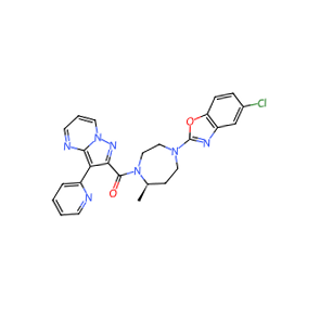 C[C@@H]1CCN(c2nc3cc(Cl)ccc3o2)CCN1C(=O)c1nn2cccnc2c1-c1ccccn1